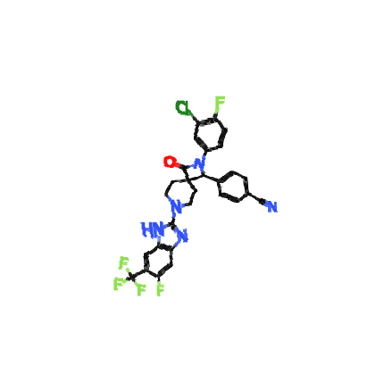 N#Cc1ccc(C2N(c3ccc(F)c(Cl)c3)C(=O)C23CCN(c2nc4cc(F)c(C(F)(F)F)cc4[nH]2)CC3)cc1